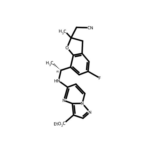 CCOC(=O)c1cnn2ccc(N[C@H](C)c3cc(F)cc4c3OC(C)(CC#N)C4)nc12